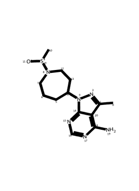 Cc1nn(C2CCCN([S+](C)[O-])CC2)c2ncnc(N)c12